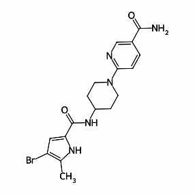 Cc1[nH]c(C(=O)NC2CCN(c3ccc(C(N)=O)cn3)CC2)cc1Br